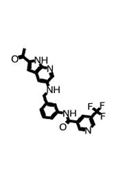 CC(=O)c1cc2cc(NCc3cccc(NC(=O)c4cncc(C(F)(F)F)c4)c3)cnc2[nH]1